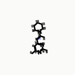 C/C(=C\c1cc(C)nc(C)n1)N1CCCCC1